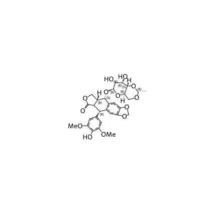 COc1cc([C@@H]2c3cc4c(cc3[C@@H](O[C@@H]3O[C@@H]5CO[C@@H](C)O[C@H]5[C@H](O)[C@H]3O)[C@H]3COC(=O)C23)OCO4)cc(OC)c1O